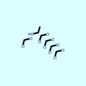 CCO.ClCCl.ClCCl.ClCCl.ClCCl.ClCCl